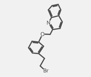 BrCCc1cccc(OCc2ccc3ccccc3n2)c1